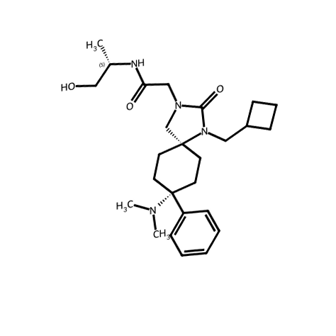 C[C@@H](CO)NC(=O)CN1C[C@]2(CC[C@@](c3ccccc3)(N(C)C)CC2)N(CC2CCC2)C1=O